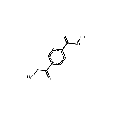 CCC(=O)c1ccc(C(=O)NC)cc1